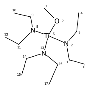 CC[N](CC)[Ti]([O]C)([N](CC)CC)[N](CC)CC